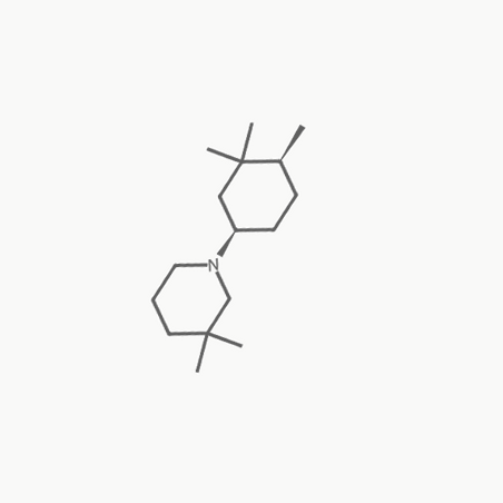 C[C@H]1CC[C@@H](N2CCCC(C)(C)C2)CC1(C)C